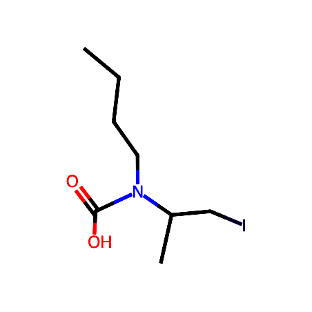 CCCCN(C(=O)O)C(C)CI